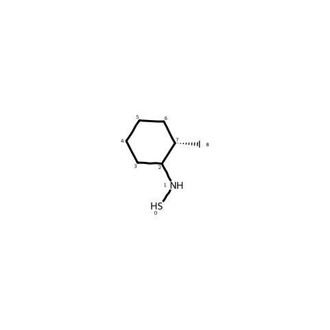 SNC1CCCC[C@@H]1I